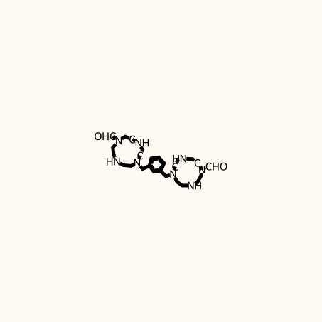 O=CN1CCNCCN(Cc2cccc(CN3CCNCCN(C=O)CCNCC3)c2)CCNCC1